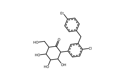 CCc1ccc(Cc2cc(C3C(=O)C(CO)C(O)C(O)C3O)ccc2Cl)cc1